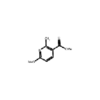 COC(=O)c1ccc(OC)nc1C